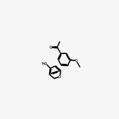 COc1cccc(C(C)=O)c1.Oc1cc2ccc1CO2